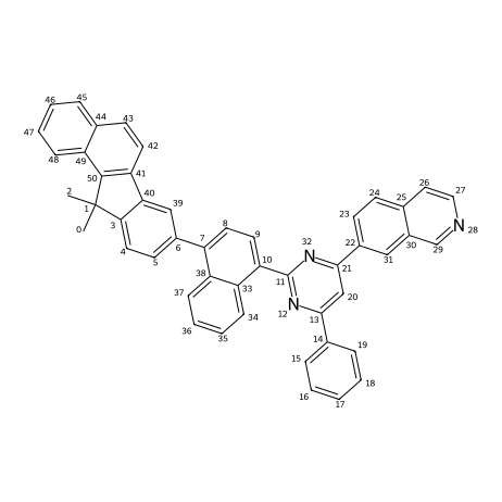 CC1(C)c2ccc(-c3ccc(-c4nc(-c5ccccc5)cc(-c5ccc6ccncc6c5)n4)c4ccccc34)cc2-c2ccc3ccccc3c21